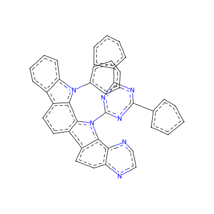 c1ccc(-c2nc(-c3ccccc3)nc(-n3c4c(ccc5nccnc54)c4ccc5c6ccccc6n(-c6ccccc6)c5c43)n2)cc1